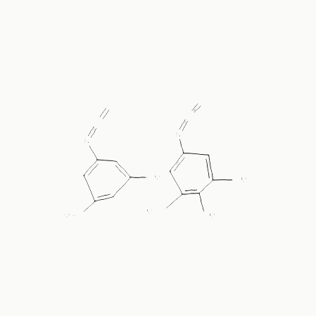 COc1cc(N=C=O)cc(OC)c1.COc1cc(N=C=O)cc(OC)c1OC